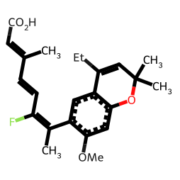 CCC1=CC(C)(C)Oc2cc(OC)c(\C(C)=C(F)/C=C/C(C)=C/C(=O)O)cc21